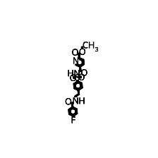 CCOC(=O)c1ccc(C(=O)NS(=O)(=O)c2ccc(CCNC(=O)c3ccc(F)cc3)cc2)cn1